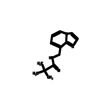 CC(C)(C)C(=O)NCc1cccn2ccnc12